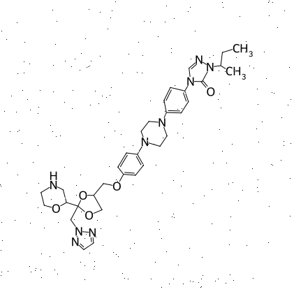 CCC(C)n1ncn(-c2ccc(N3CCN(c4ccc(OCC5COC(Cn6nccn6)(C6CNCCO6)O5)cc4)CC3)cc2)c1=O